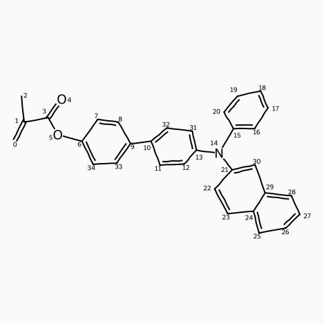 C=C(C)C(=O)Oc1ccc(-c2ccc(N(c3ccccc3)c3ccc4ccccc4c3)cc2)cc1